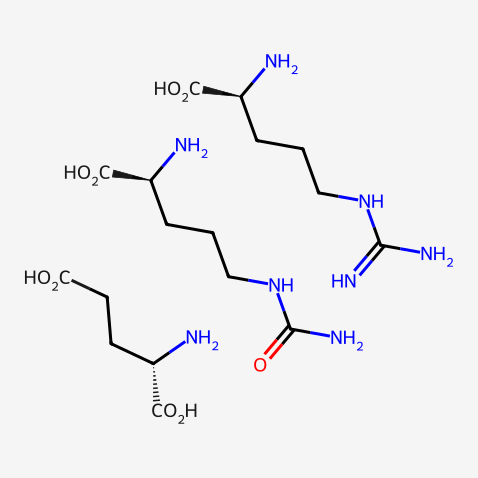 N=C(N)NCCC[C@H](N)C(=O)O.NC(=O)NCCC[C@H](N)C(=O)O.N[C@@H](CCC(=O)O)C(=O)O